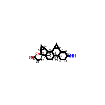 CC[C@]12CCC3C(C4CC4C4=CC(=N)CC[C@@H]43)C1C1CC1[C@@]21CCC(=O)O1